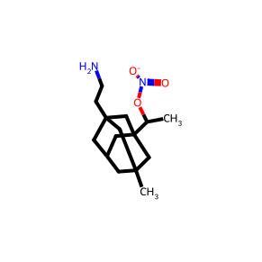 CC(O[N+](=O)[O-])C12CC3CC(C)(CC(CCN)(C3)C1)C2